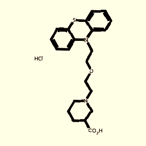 Cl.O=C(O)C1CCCN(CCOCCN2c3ccccc3Sc3ccccc32)C1